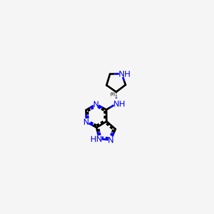 c1nc(N[C@@H]2CCNC2)c2cn[nH]c2n1